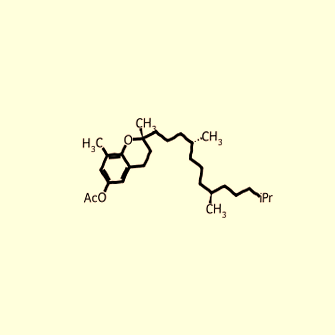 CC(=O)Oc1cc(C)c2c(c1)CC[C@@](C)(CCC[C@H](C)CCC[C@H](C)CCCC(C)C)O2